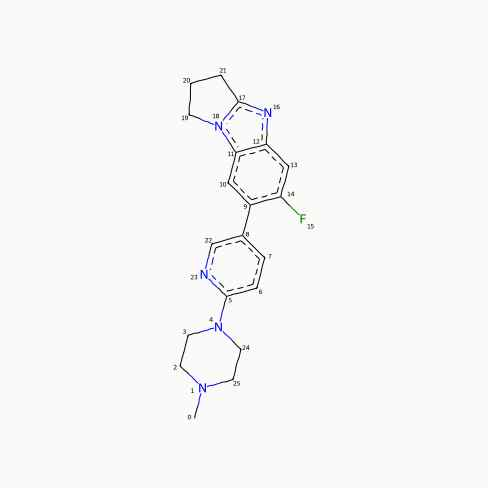 CN1CCN(c2ccc(-c3cc4c(cc3F)nc3n4CCC3)cn2)CC1